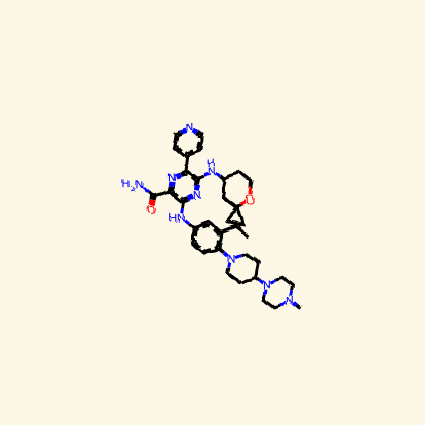 CCc1cc(Nc2nc(NC3CCOC4(CC4)C3)c(-c3ccncc3)nc2C(N)=O)ccc1N1CCC(N2CCN(C)CC2)CC1